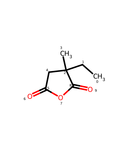 CCC1(C)CC(=O)OC1=O